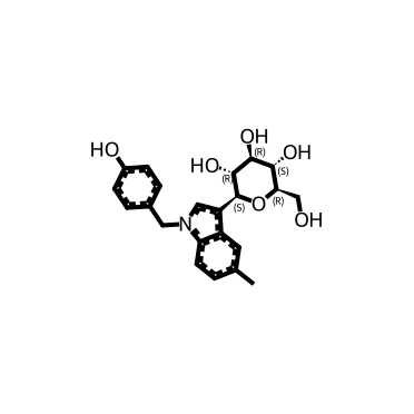 Cc1ccc2c(c1)c([C@@H]1O[C@H](CO)[C@@H](O)[C@H](O)[C@H]1O)cn2Cc1ccc(O)cc1